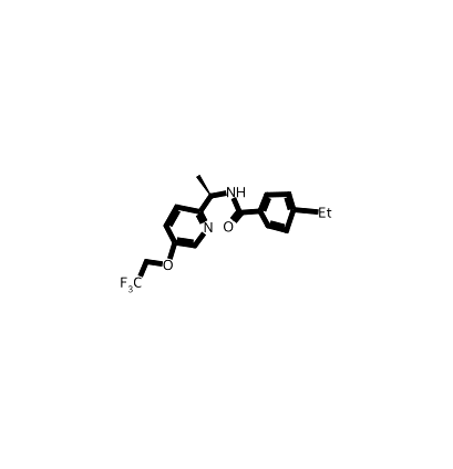 CCc1ccc(C(=O)N[C@H](C)c2ccc(OCC(F)(F)F)cn2)cc1